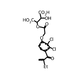 C=C(CC)C(=O)c1ccc(OCC(=O)OC(C(=O)O)C(O)C(=O)O)c(Cl)c1Cl